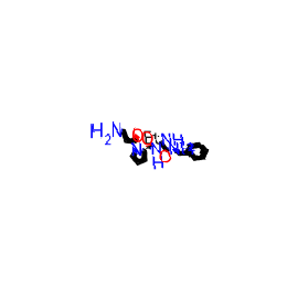 CCC(N)(NC(=O)[C@@H]1CCCN1C(=O)CCN)C(=O)NCc1ccccc1